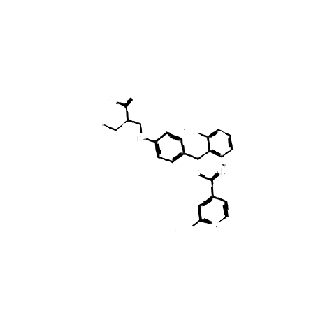 Cc1cc(/C(C[C@H](c2ccc(NCC(CCl)C(=O)O)cc2)c2ccccc2C)=N/O)ccn1